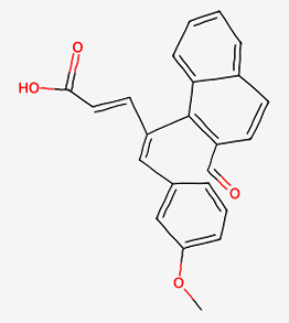 COc1cccc(/C=C(/C=C/C(=O)O)c2c(C=O)ccc3ccccc23)c1